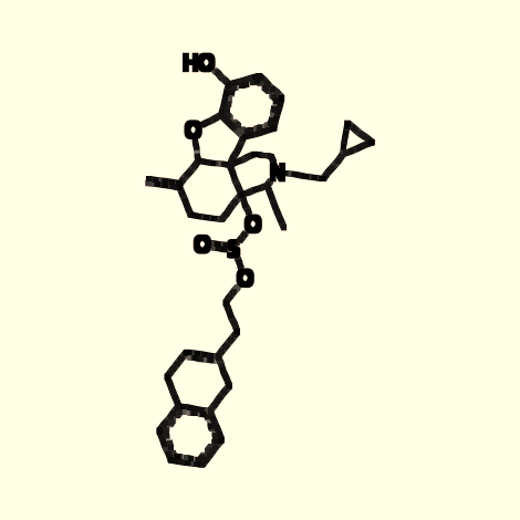 C=C1CCC2(OS(=O)OCCC3=CCc4ccccc4C3)C(C)N(CC3CC3)CCC23c2cccc(O)c2OC13